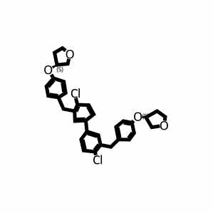 Clc1ccc(-c2ccc(Cl)c(Cc3ccc(O[C@H]4CCOC4)cc3)c2)cc1Cc1ccc(O[C@H]2CCOC2)cc1